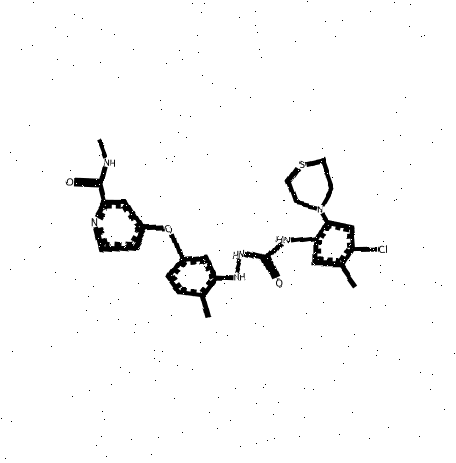 CNC(=O)c1cc(Oc2ccc(C)c(NNC(=O)Nc3cc(C)c(Cl)cc3N3CCSCC3)c2)ccn1